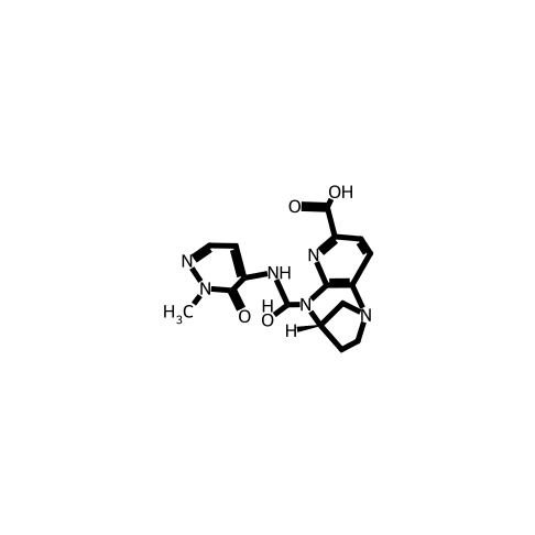 Cn1nccc(NC(O)N2c3nc(C(=O)O)ccc3N3CC[C@H]2C3)c1=O